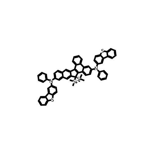 C[Si](C)(C)C1([Si](C)(C)C)c2cc3cc(N(c4ccccc4)c4ccc5sc6ccccc6c5c4)ccc3cc2-c2c1c1ccc(N(c3ccccc3)c3ccc4sc5ccccc5c4c3)cc1c1ccccc21